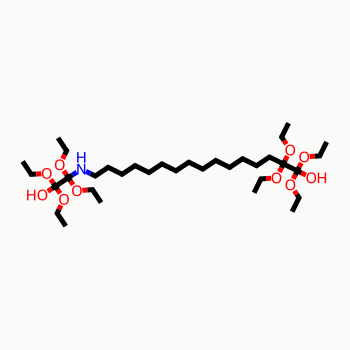 CCOC(O)(OCC)C(CCCCCCCCCCCCCCNC(OCC)(OCC)C(O)(OCC)OCC)(OCC)OCC